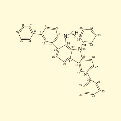 Cn1c2ccc(-c3ccccc3)cc2c2ccc3c4cc(-c5ccccc5)ccc4n(-c4ccccc4)c3c21